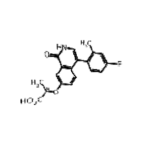 Cc1cc(F)ccc1-c1c[nH]c(=O)c2cc(O[C@H](C)C(=O)O)ccc12